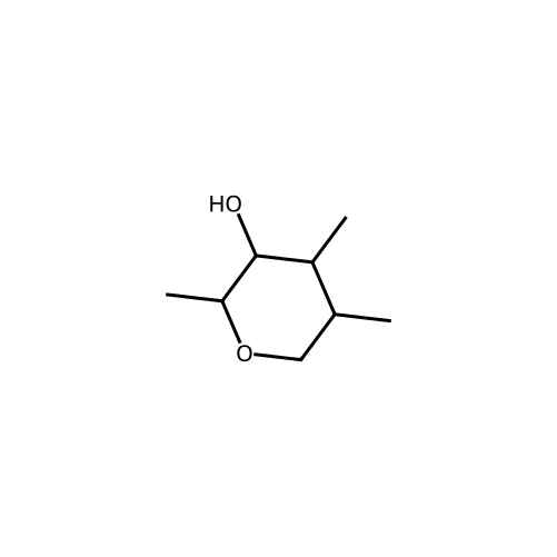 CC1COC(C)C(O)C1C